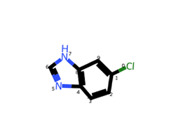 Clc1c[c]c2nc[nH]c2c1